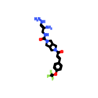 NN/C=C(\N)CNC(=O)N1CC2CN(C(=O)/C=C/c3ccc(OC(F)(F)F)cc3)CC2C1